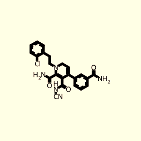 N#CNC(=O)C1=C(C(N)=O)N(CCc2ccccc2Cl)CC=C1c1cccc(C(N)=O)c1